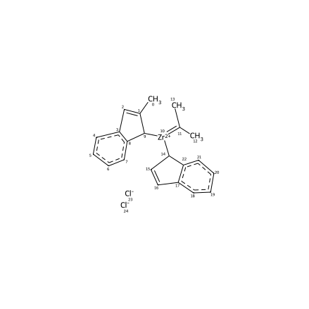 CC1=Cc2ccccc2[CH]1[Zr+2](=[C](C)C)[CH]1C=Cc2ccccc21.[Cl-].[Cl-]